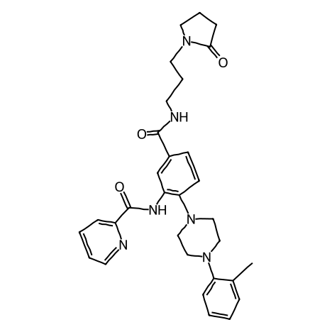 Cc1ccccc1N1CCN(c2ccc(C(=O)NCCCN3CCCC3=O)cc2NC(=O)c2ccccn2)CC1